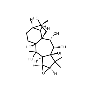 CC1(C)[C@H]2O[C@H]2[C@@H]2[C@]1(O)[C@H](O)[C@@H](O)[C@]13C[C@@](C)(O)[C@H](CC[C@@]1(O)[C@@]2(C)O)[C@H]3O